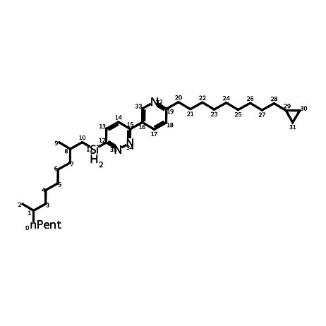 CCCCCC(C)CCCCCC(C)C[SiH2]c1ccc(-c2ccc(CCCCCCCCCC3CC3)nc2)nn1